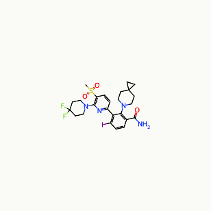 CS(=O)(=O)c1ccc(-c2c(I)ccc(C(N)=O)c2N2CCC3(CC2)CC3)nc1N1CCC(F)(F)CC1